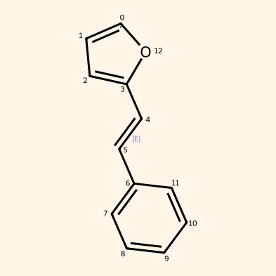 [c]1ccc(/C=C/c2ccccc2)o1